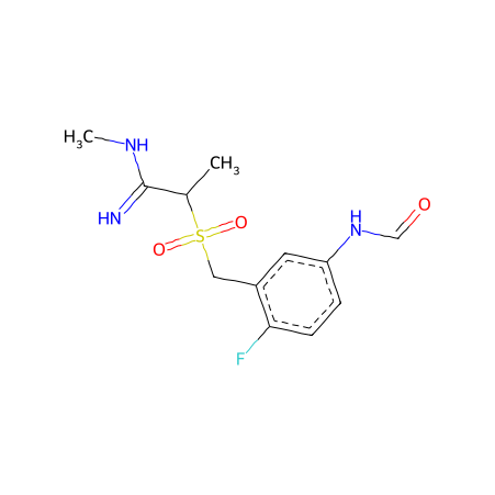 CNC(=N)C(C)S(=O)(=O)Cc1cc(NC=O)ccc1F